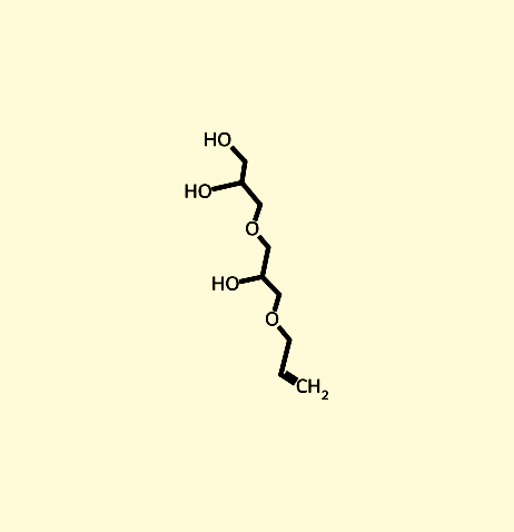 C=CCOCC(O)COCC(O)CO